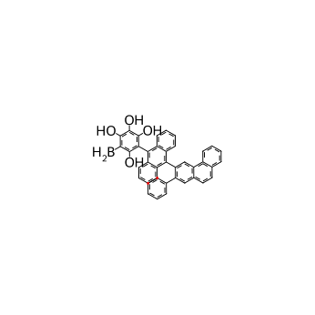 Bc1c(O)c(O)c(O)c(-c2c3ccccc3c(-c3cc4c(ccc5ccccc54)cc3-c3ccccc3)c3ccccc23)c1O